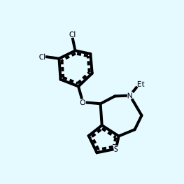 CCN1CCc2sccc2C(Oc2ccc(Cl)c(Cl)c2)C1